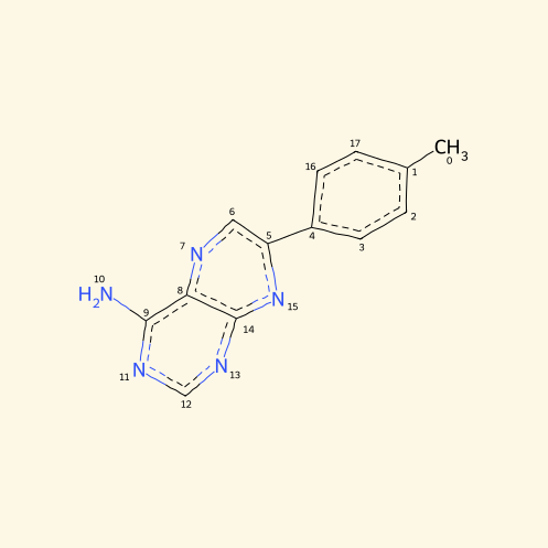 Cc1ccc(-c2cnc3c(N)ncnc3n2)cc1